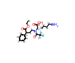 CCOC(=O)C(CCN(C(=O)C(F)(F)F)[C@@H](CCCCN)C(=O)O)c1ccccc1